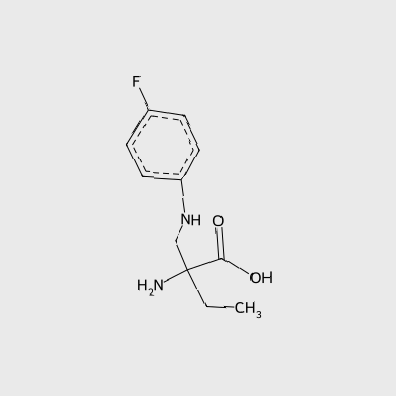 CCC(N)(CNc1ccc(F)cc1)C(=O)O